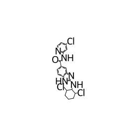 O=C(Nc1cc(Cl)ccn1)c1ccc2[nH]c(NC3C(Cl)CCCC3Cl)nc2c1